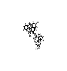 CCCN(Cc1ccccc1)c1nc(OC)c(CNC(=O)C2CCCN2C(=O)OC(C)(C)C)cc1F